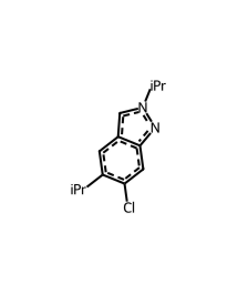 CC(C)c1cc2cn(C(C)C)nc2cc1Cl